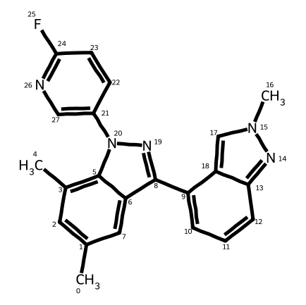 Cc1cc(C)c2c(c1)c(-c1cccc3nn(C)cc13)nn2-c1ccc(F)nc1